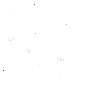 N=C(c1ccncc1)c1ccc(N)nc1N